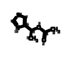 CC(=O)OC(C)c1cs[c]n1